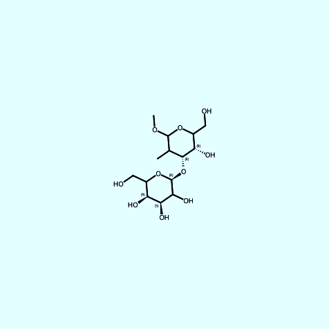 COC1OC(CO)[C@H](O)[C@H](O[C@@H]2OC(CO)[C@H](O)[C@H](O)C2O)C1C